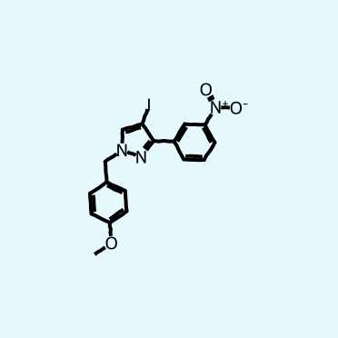 COc1ccc(Cn2cc(I)c(-c3cccc([N+](=O)[O-])c3)n2)cc1